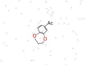 [CH2]C(=O)c1ccc2c(c1)OCCCO2